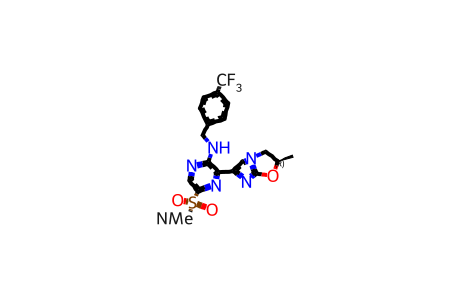 CNS(=O)(=O)c1cnc(NCc2ccc(C(F)(F)F)cc2)c(-c2cn3c(n2)O[C@H](C)C3)n1